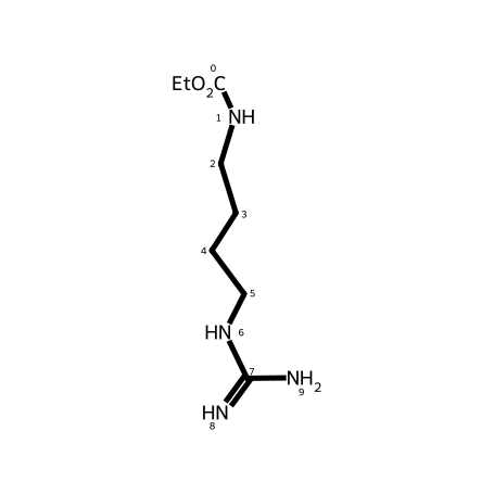 CCOC(=O)NCCCCNC(=N)N